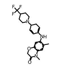 Cc1cc2c(cc1NC1=CCC(N3CCC(C(F)(F)F)CC3)C=C1)OCC(=O)N2C